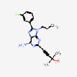 CCCn1c(-c2cccc(F)c2)nc2c(N)nc(C#CC(C)(C)O)nc21